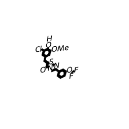 COc1cc(/C=c2\sc3nc(-c4cccc(OC(F)F)c4)cn3c2=O)cc(Cl)c1O